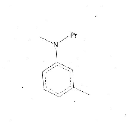 Cc1cccc(N(C)C(C)C)c1